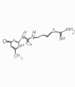 Cc1cc(=O)nc(NC(=O)NCCCSC(=N)N)[nH]1